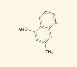 COc1cc(C)cc2ncccc12